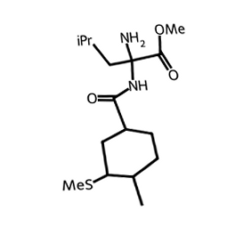 COC(=O)C(N)(CC(C)C)NC(=O)C1CCC(C)C(SC)C1